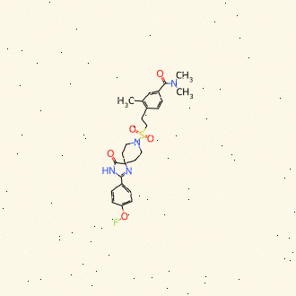 Cc1cc(C(=O)N(C)C)ccc1CCS(=O)(=O)N1CCC2(CC1)N=C(c1ccc(OF)cc1)NC2=O